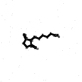 CCCCCSN1C(=O)CCC1=O